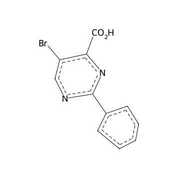 O=C(O)c1nc(-c2ccccc2)ncc1Br